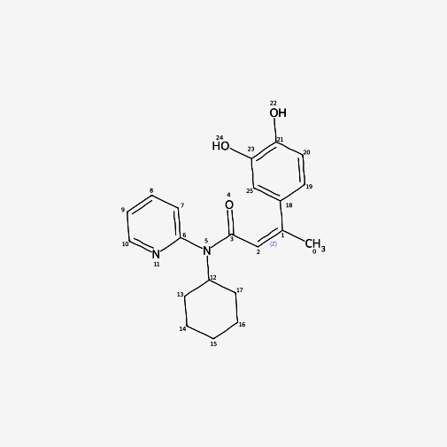 C/C(=C/C(=O)N(c1ccccn1)C1CCCCC1)c1ccc(O)c(O)c1